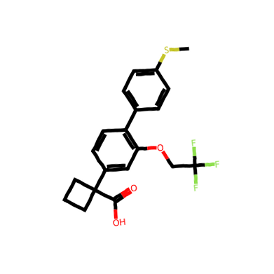 CSc1ccc(-c2ccc(C3(C(=O)O)CCC3)cc2OCC(F)(F)F)cc1